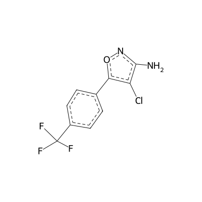 Nc1noc(-c2ccc(C(F)(F)F)cc2)c1Cl